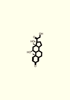 C[C@]12C=CC(=O)C=C1CCC1C2[C@@H](O)C[C@@]2(C)C1CC[C@]2(O)C(=O)CO